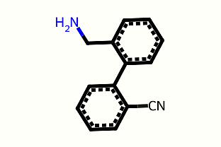 N#Cc1ccccc1-c1ccccc1CN